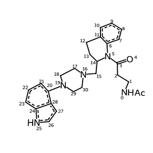 CC(=O)NCCC(=O)N1c2ccccc2CCC1CN1CCN(c2cccc3[nH]ccc23)CC1